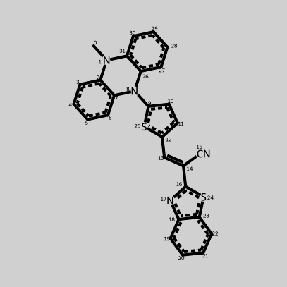 CN1c2ccccc2N(c2ccc(/C=C(\C#N)c3nc4ccccc4s3)s2)c2ccccc21